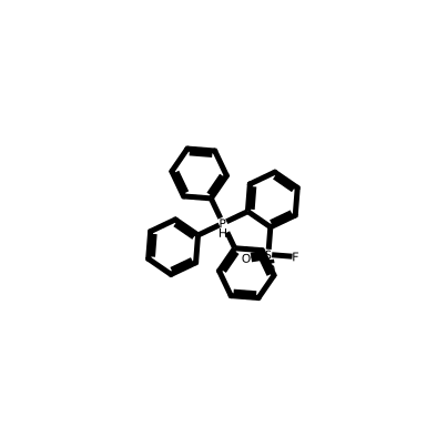 O=S(=O)(F)c1ccccc1[PH](c1ccccc1)(c1ccccc1)c1ccccc1